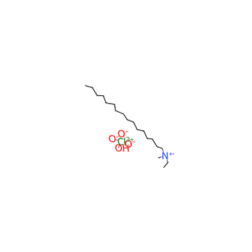 CCCCCCCCCCCCCCCC[N+](C)(C)CC.[O-][Cl+3]([O-])([O-])O